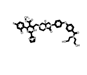 COC(=O)C1=C(CN2CCN3C(=O)N(c4ccc(Oc5ccc(C(=O)N(CCO)CCO)cc5)cc4)C[C@@H]3C2)NC(c2nccs2)=NC1c1ccc(F)cc1Cl